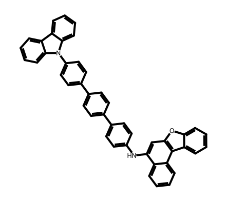 c1ccc2c(c1)oc1cc(Nc3ccc(-c4ccc(-c5ccc(-n6c7ccccc7c7ccccc76)cc5)cc4)cc3)c3ccccc3c12